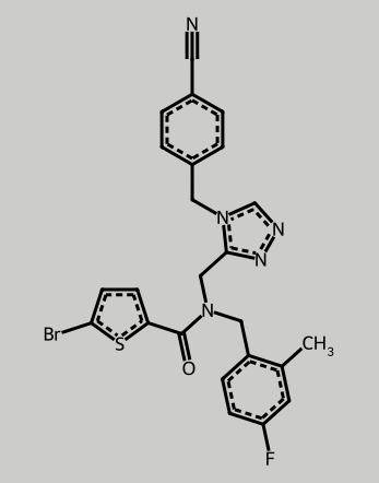 Cc1cc(F)ccc1CN(Cc1nncn1Cc1ccc(C#N)cc1)C(=O)c1ccc(Br)s1